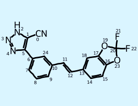 N#Cc1[nH]nnc1-c1cccc(C=Cc2ccc3c(c2)OC(F)(F)O3)c1